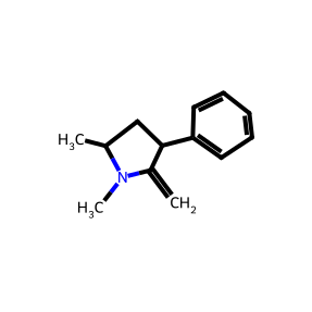 C=C1C(c2ccccc2)CC(C)N1C